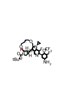 CC(C)(C)OC(=O)N1C[C@@H]2[C@H]3c4c(n(C5CC5)c5c(F)c(-c6cc(N)cc(F)c6OC(F)(F)F)ncc45)COC/C=C/COC[C@@H]1[C@H]23